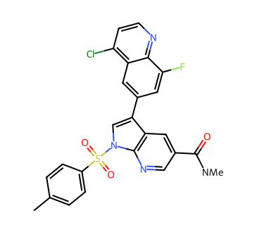 CNC(=O)c1cnc2c(c1)c(-c1cc(F)c3nccc(Cl)c3c1)cn2S(=O)(=O)c1ccc(C)cc1